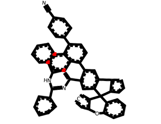 N#Cc1ccc(-c2ccc(-c3cc4c(cc3C3=NC(c5ccccc5)NC(c5ccccc5)=N3)C3(c5ccccc5Oc5ccccc53)c3ccccc3-4)c3ccccc23)cc1